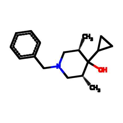 C[C@@H]1CN(Cc2ccccc2)C[C@H](C)C1(O)C1CC1